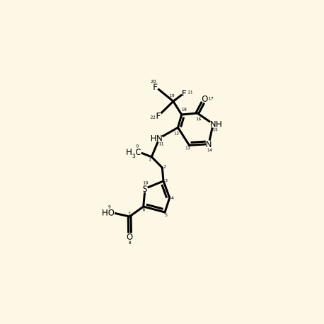 CC(Cc1ccc(C(=O)O)s1)Nc1cn[nH]c(=O)c1C(F)(F)F